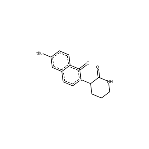 CC(C)(C)c1ccc2c(=O)n(C3CCCNC3=O)ccc2c1